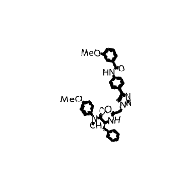 COc1ccc(N(C)C(=O)[C@H](Cc2ccccc2)NC(=O)Cn2cc(-c3ccc(NC(=O)c4cccc(OC)c4)cc3)nn2)cc1